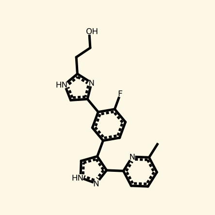 Cc1cccc(-c2n[nH]cc2-c2ccc(F)c(-c3c[nH]c(CCO)n3)c2)n1